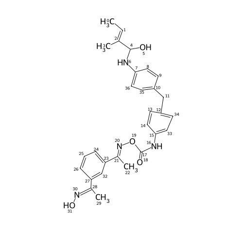 C/C=C(\C)C(O)Nc1ccc(Cc2ccc(NC(=O)O/N=C(\C)c3cccc(/C(C)=N/O)c3)cc2)cc1